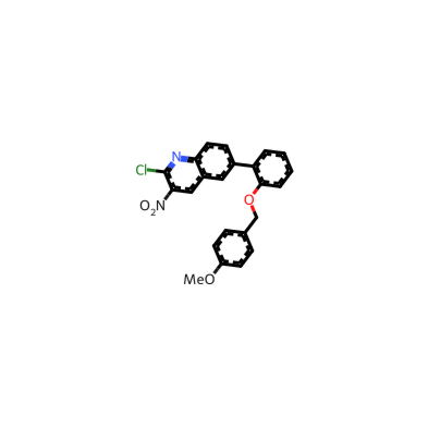 COc1ccc(COc2ccccc2-c2ccc3nc(Cl)c([N+](=O)[O-])cc3c2)cc1